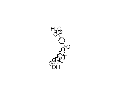 COC(=O)c1ccc(C(=O)OCC(F)(F)C(F)(F)C(F)(F)CP(=O)(O)O)cc1